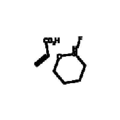 C=CC(=O)O.F[SiH]1CCCCO1